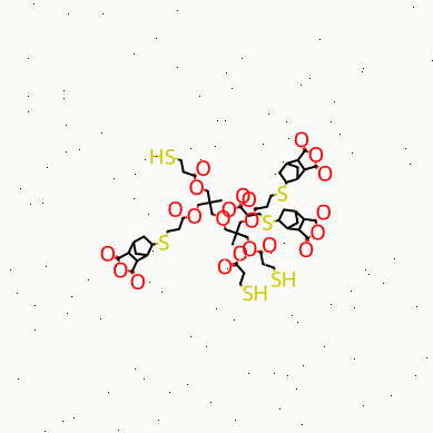 O=C(CCS)OCC(COCC(COC(=O)CCS)(COC(=O)CCSC1CC2CC1C1C(=O)OC(=O)C21)COC(=O)CCSC1CC2CC1C1C(=O)OC(=O)C21)(COC(=O)CCS)COC(=O)CCSC1CC2CC1C1C(=O)OC(=O)C21